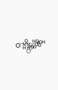 O=C(NCc1ccccc1)NCC(COP(=O)(O)O)S(=O)(=O)CC1CCCC1